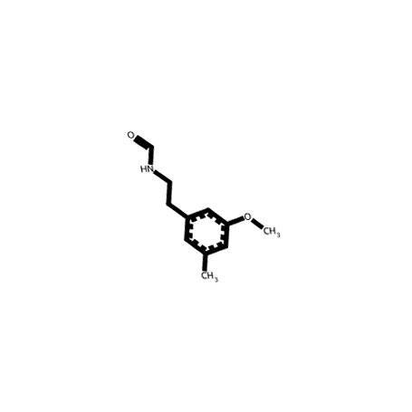 COc1cc(C)cc(CCNC=O)c1